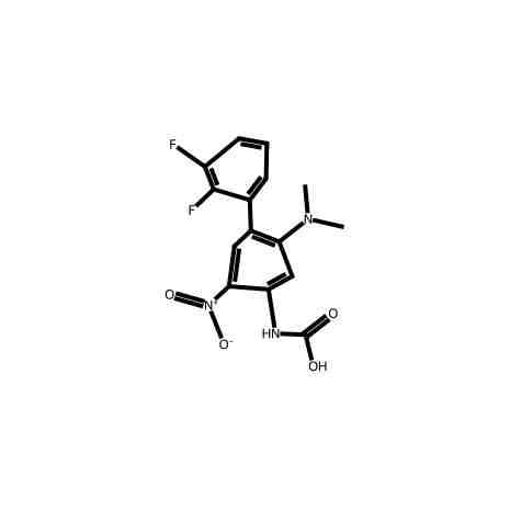 CN(C)c1cc(NC(=O)O)c([N+](=O)[O-])cc1-c1cccc(F)c1F